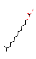 COC(=O)OCCCCCCCCCCC(C)C